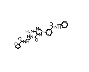 Nc1ncc(-c2cccc(C(=O)NCc3ccccc3)c2)nc1C(=O)NCCNC(=O)c1ccco1